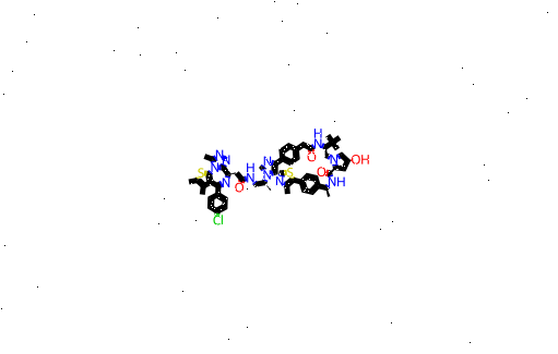 Cc1ncsc1-c1ccc([C@H](C)NC(=O)[C@@H]2C[C@@H](O)CN2C[C@@H](NC(=O)Cc2ccc(-c3cn([C@H](C)CNC(=O)C[C@@H]4N=C(c5ccc(Cl)cc5)c5c(sc(C)c5C)-n5c(C)nnc54)cn3)cc2)C(C)(C)C)cc1